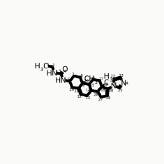 CCNC(=O)NC1CC[C@@]2(C)C(=CCC3C2CC[C@]2(C)C(n4ccnc4)=CCC32)C1